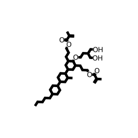 C=C(C)C(=O)OCCCC1CC(C2CCC(C3CCC(CCCCC)CC3)CC2C)CC(CCCOC(=O)C(=C)C)C1OCCC(CO)CO